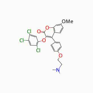 COc1ccc2c(-c3ccc(OCCN(C)C)cc3)c(Oc3cc(Cl)c(Cl)cc3Cl)c(=O)oc2c1